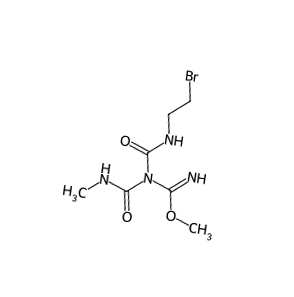 CNC(=O)N(C(=N)OC)C(=O)NCCBr